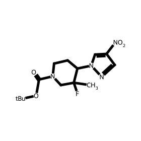 CC(C)(C)OC(=O)N1CCC(n2cc([N+](=O)[O-])cn2)C(C)(F)C1